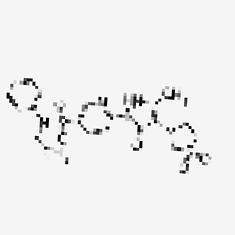 CCN(c1ccccc1)S(=O)(=O)c1ccc(-n2[nH]c(C)c(C3CCS(=O)(=O)C3)c2=O)nc1